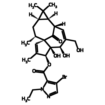 CCn1ncc(Br)c1C(=O)O[C@H]1C(C)=C[C@]23C(=O)[C@@H](C=C(CO)[C@@H](O)[C@]12O)[C@H]1[C@@H](C[C@H]3C)C1(C)C